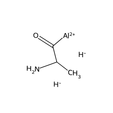 CC(N)[C](=O)[Al+2].[H-].[H-]